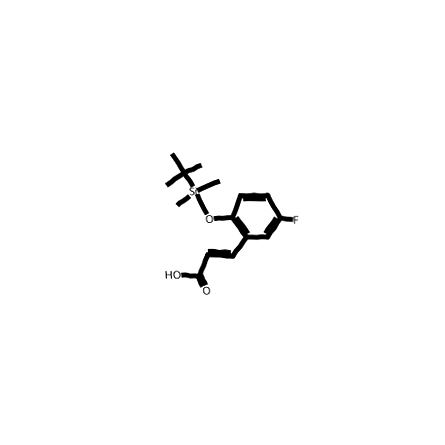 CC(C)(C)[Si](C)(C)Oc1ccc(F)cc1/C=C/C(=O)O